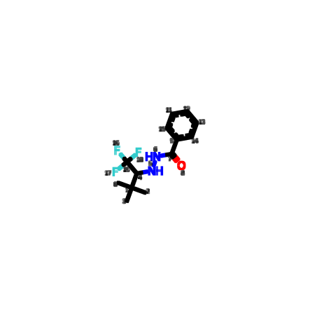 CC(C)(C)C(NNC(=O)c1ccccc1)C(F)(F)F